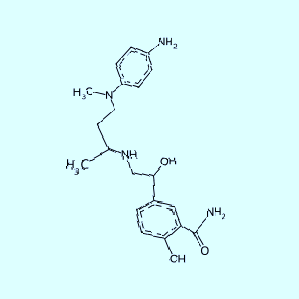 CC(CCN(C)c1ccc(N)cc1)NCC(O)c1ccc(O)c(C(N)=O)c1